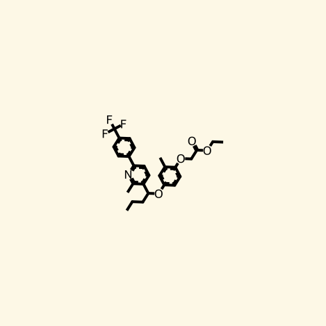 CCCC(Oc1ccc(OCC(=O)OCC)c(C)c1)c1ccc(-c2ccc(C(F)(F)F)cc2)nc1C